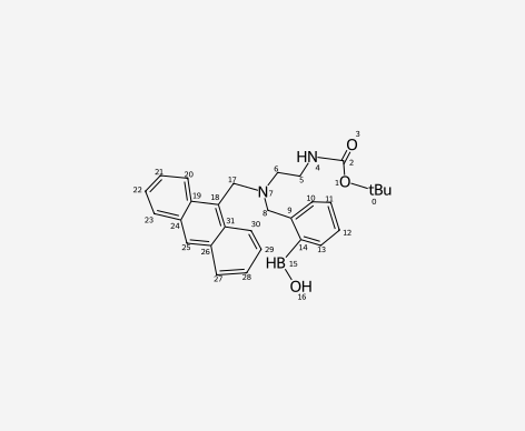 CC(C)(C)OC(=O)NCCN(Cc1ccccc1BO)Cc1c2ccccc2cc2ccccc12